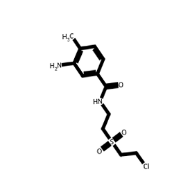 Cc1ccc(C(=O)NCCS(=O)(=O)CCCl)cc1N